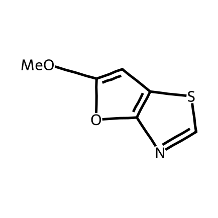 COc1cc2scnc2o1